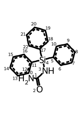 NC(=O)N[Si](c1ccccc1)(c1ccccc1)c1ccccc1